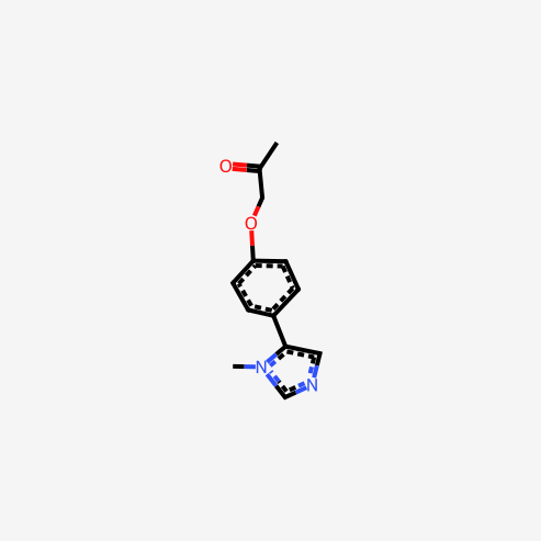 CC(=O)COc1ccc(-c2cncn2C)cc1